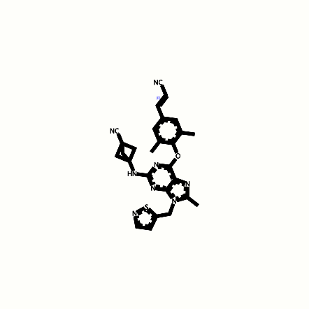 Cc1cc(/C=C/C#N)cc(C)c1Oc1nc(NC23CC(C#N)(C2)C3)nc2c1nc(C)n2Cc1ccns1